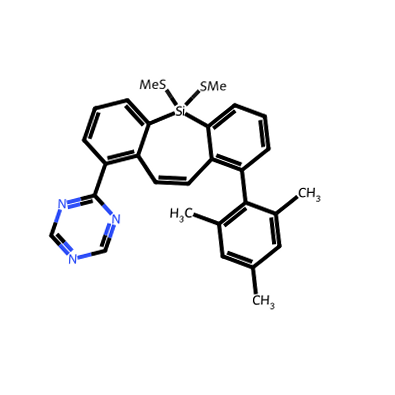 CS[Si]1(SC)c2cccc(-c3ncncn3)c2C=Cc2c(-c3c(C)cc(C)cc3C)cccc21